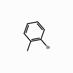 Cc1[c]cccc1Br